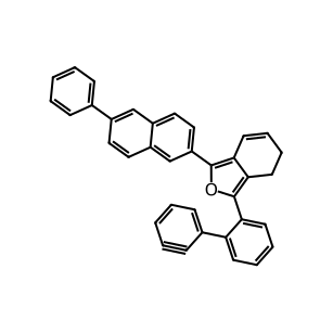 c1cccc(-c2ccccc2-c2oc(-c3ccc4cc(-c5ccccc5)ccc4c3)c3c2CCC=C3)c#1